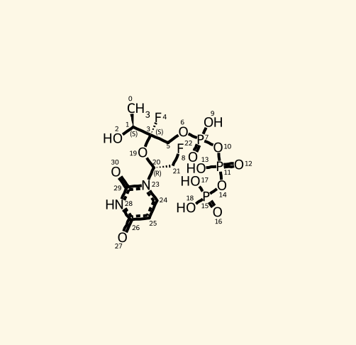 C[C@H](O)[C@@](F)(COP(=O)(O)OP(=O)(O)OP(=O)(O)O)O[C@H](CF)n1ccc(=O)[nH]c1=O